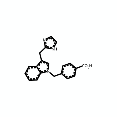 O=C(O)c1ccc(Cn2cc(Cc3ncc[nH]3)c3ccccc32)cc1